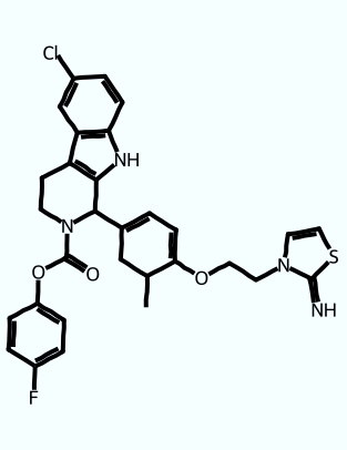 CC1CC(C2c3[nH]c4ccc(Cl)cc4c3CCN2C(=O)Oc2ccc(F)cc2)=CC=C1OCCn1ccsc1=N